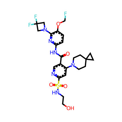 O=C(Nc1ccc(OCF)c(N2CC(F)(F)C2)n1)c1cnc(S(=O)(=O)NCCO)cc1N1CCC2(CC1)CC2